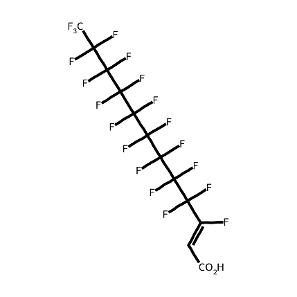 O=C(O)/C=C(\F)C(F)(F)C(F)(F)C(F)(F)C(F)(F)C(F)(F)C(F)(F)C(F)(F)C(F)(F)C(F)(F)F